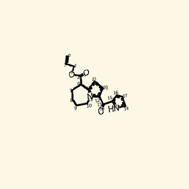 C=CCOC(=O)C1CCCCn2c(C(=O)c3ccc[nH]3)ccc21